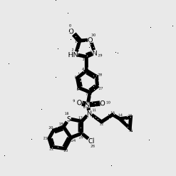 O=c1[nH]c(-c2ccc(S(=O)(=O)N(CCC3CC3)c3sc4ccccc4c3Cl)cc2)no1